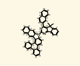 CC1(C)c2ccccc2-c2nc(-n3c4cc5ccccc5cc4c4c5c6ccccc6c6ccccc6c5ccc43)nc(-c3ccc4ccccc4c3)c21